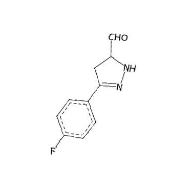 O=CC1CC(c2ccc(F)cc2)=NN1